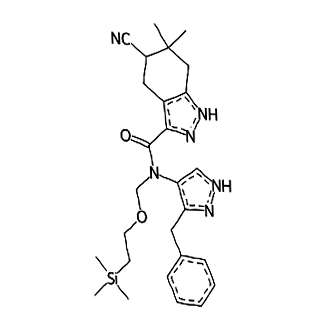 CC1(C)Cc2[nH]nc(C(=O)N(COCC[Si](C)(C)C)c3c[nH]nc3Cc3ccccc3)c2CC1C#N